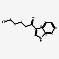 O=C(CCCCCl)c1c[nH]c2ccccc12